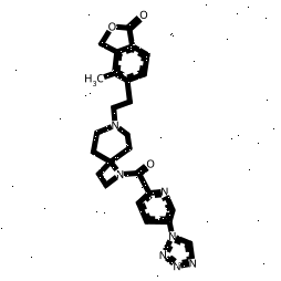 Cc1c(CCN2CCC3(CC2)CCN3C(=O)c2ccc(-n3cnnn3)cn2)ccc2c1COC2=O